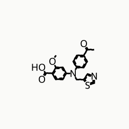 COc1cc(N(Cc2cncs2)c2ccc(C(C)=O)cc2)ccc1C(=O)O